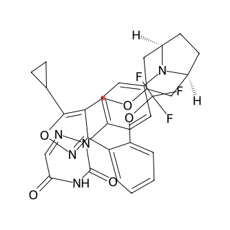 O=c1cnn(-c2ccc(N3[C@@H]4CC[C@H]3CC(OCc3c(-c5ccccc5OC(F)(F)F)noc3C3CC3)C4)cc2)c(=O)[nH]1